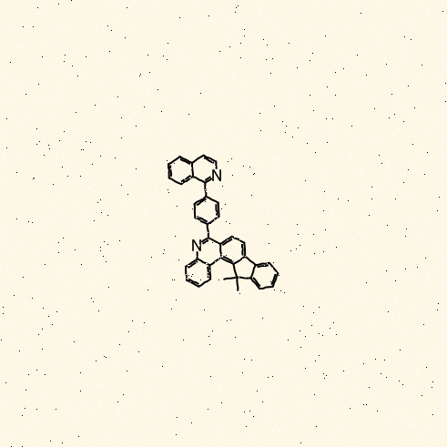 CC1(C)c2ccccc2-c2ccc3c(-c4ccc(-c5nccc6ccccc56)cc4)nc4ccccc4c3c21